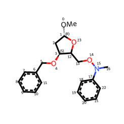 CO[C@H]1C[C@H](OCc2ccccc2)C(CON(C)c2ccccc2)O1